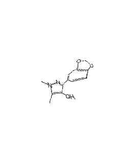 Cc1c(O)c(-c2ccc3c(c2)OCO3)nn1C